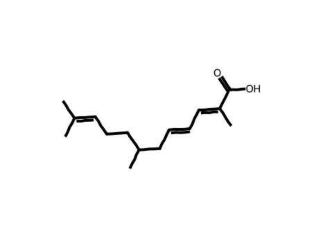 CC(C)=CCCC(C)C/C=C/C=C(\C)C(=O)O